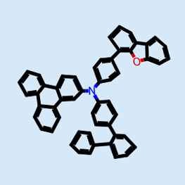 c1ccc(-c2ccccc2-c2ccc(N(c3ccc(-c4cccc5c4oc4ccccc45)cc3)c3ccc4c5ccccc5c5ccccc5c4c3)cc2)cc1